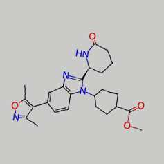 COC(=O)C1CCC(n2c([C@@H]3CCCC(=O)N3)nc3cc(-c4c(C)noc4C)ccc32)CC1